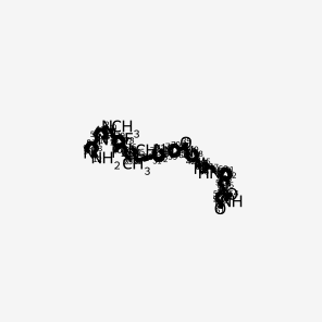 Cc1nc2ccc(-c3ccnc(N)c3)nc2n1-c1cc(F)c(N2C[C@@H](C)N(CC#Cc3ccc(N4CCC(C(=O)N5CCC(n6cc(CNc7cccc8c7CN(C7CCC(=O)NC7=O)C8)cn6)CC5)CC4)nc3)[C@@H](C)C2)c(F)c1